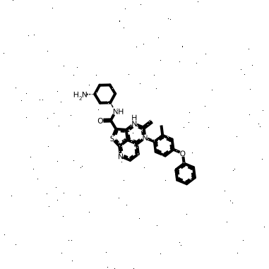 C=c1[nH]c2c(C(=O)N[C@H]3CCC[C@@H](N)C3)sc3nccc(c32)n1-c1ccc(Oc2ccccc2)cc1C